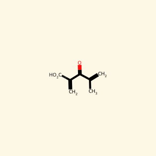 C=C(C)C(=O)C(=C)C(=O)O